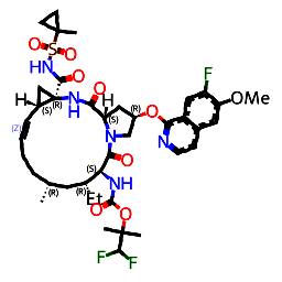 CC[C@@H]1C[C@H](C)CC/C=C\[C@@H]2C[C@@]2(C(=O)NS(=O)(=O)C2(C)CC2)NC(=O)[C@@H]2C[C@@H](Oc3nccc4cc(OC)c(F)cc34)CN2C(=O)[C@H]1NC(=O)OC(C)(C)C(F)F